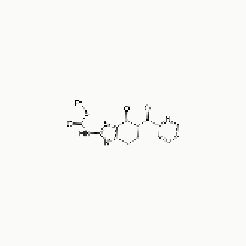 CCSC(=O)Nc1nc2c(s1)C(=O)C(C(=O)c1ccccn1)CC2